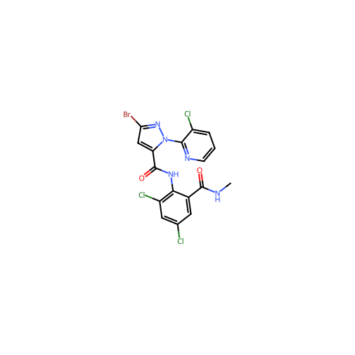 CNC(=O)c1cc(Cl)cc(Cl)c1NC(=O)c1cc(Br)nn1-c1ncccc1Cl